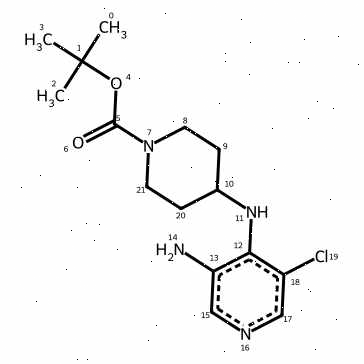 CC(C)(C)OC(=O)N1CCC(Nc2c(N)cncc2Cl)CC1